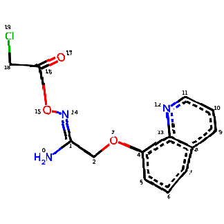 NC(COc1cccc2cccnc12)=NOC(=O)CCl